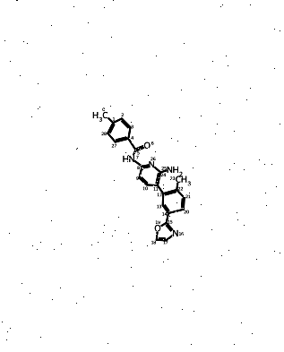 Cc1ccc(C(=O)Nc2ccc(-c3cc(-c4ncco4)ccc3C)c(N)n2)cc1